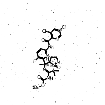 CC(C)(C)OC(=O)NC1=N[C@](C)(c2nc(NC(=O)c3ncc(Cl)cc3Cl)ccc2F)[C@@H]2CCN=[S@]2(=O)C1(C)C